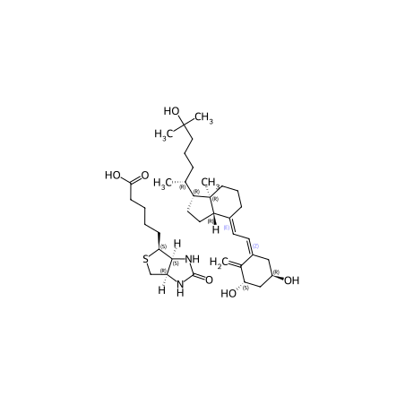 C=C1/C(=C\C=C2/CCC[C@]3(C)[C@@H]([C@H](C)CCCC(C)(C)O)CC[C@@H]23)C[C@@H](O)C[C@@H]1O.O=C(O)CCCC[C@@H]1SC[C@@H]2NC(=O)N[C@@H]21